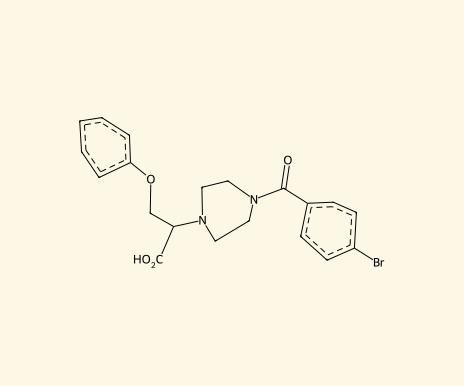 O=C(O)C(COc1ccccc1)N1CCN(C(=O)c2ccc(Br)cc2)CC1